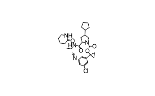 N#C[C@H](C[C@@H]1CCCNC1=O)NC(=O)C1CC(C2CCCC2)CN1C(=O)OC1(c2cccc(Cl)c2)CC1